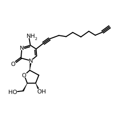 C#CCCCCCCC#Cc1cn([C@H]2C[C@@H](O)[C@@H](CO)O2)c(=O)nc1N